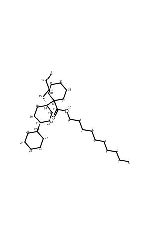 CCCCCCCCCCOC(=O)C1([C@]2(CCCC)CC[C@H](C3CCCCC3)CC2)CCCCC1